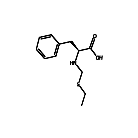 CCSCN[C@@H](Cc1ccccc1)C(=O)O